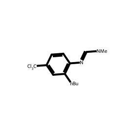 CCCCc1cc(C(Cl)(Cl)Cl)ccc1N=CNC